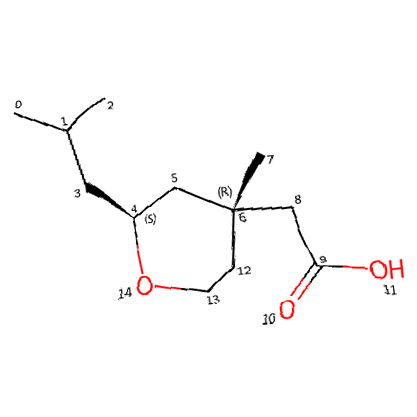 CC(C)C[C@H]1C[C@](C)(CC(=O)O)CCO1